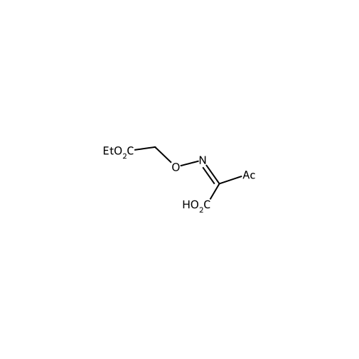 CCOC(=O)CON=C(C(C)=O)C(=O)O